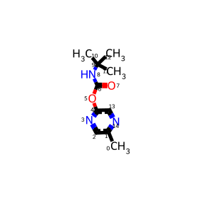 Cc1cnc(OC(=O)NC(C)(C)C)cn1